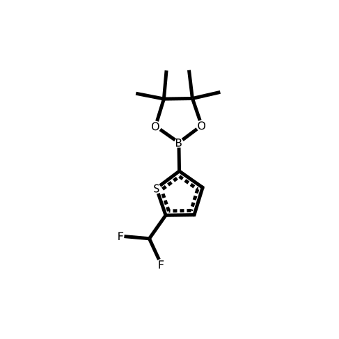 CC1(C)OB(c2ccc(C(F)F)s2)OC1(C)C